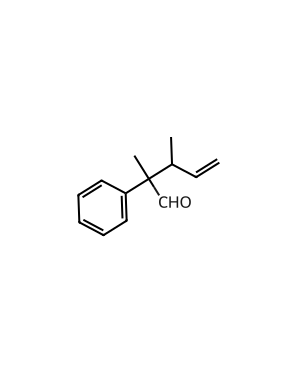 C=CC(C)C(C)(C=O)c1ccccc1